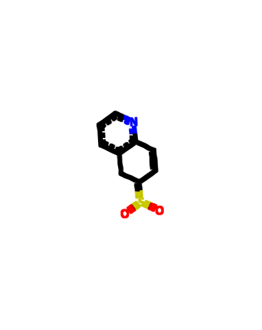 O=S(=O)=C1C=Cc2ncccc2C1